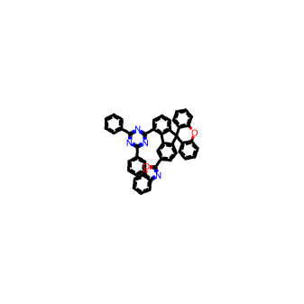 c1ccc(-c2nc(-c3ccccc3)nc(-c3cccc4c3-c3cc(-c5nc6ccccc6o5)ccc3C43c4ccccc4Oc4ccccc43)n2)cc1